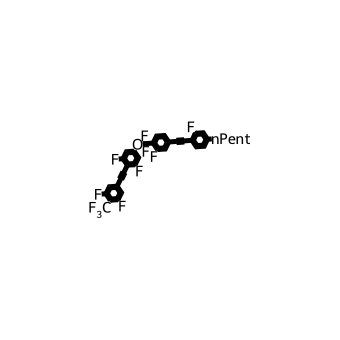 CCCCCc1ccc(C#Cc2ccc(C(F)(F)Oc3cc(F)c(C#Cc4cc(F)c(C(F)(F)F)c(F)c4)c(F)c3)c(F)c2)c(F)c1